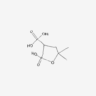 CC1(C)CC(P(=O)(O)O)P(=O)(O)O1